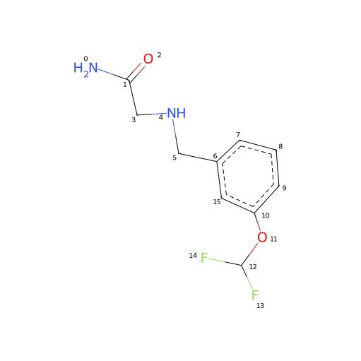 NC(=O)CNCc1cccc(OC(F)F)c1